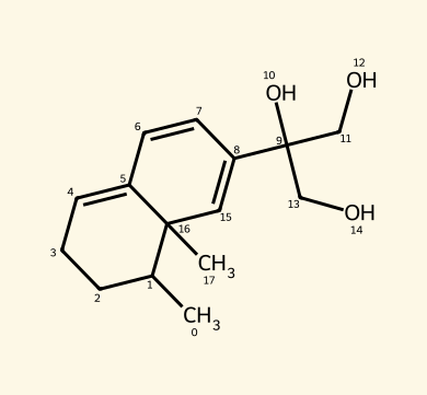 CC1CCC=C2C=CC(C(O)(CO)CO)=CC21C